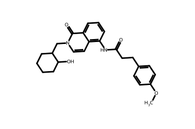 COc1ccc(CCC(=O)Nc2cccc3c(=O)n(CC4CCCCC4O)ccc23)cc1